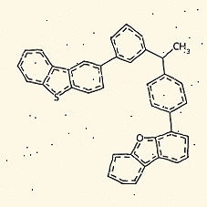 CC(c1ccc(-c2cccc3c2oc2ccccc23)cc1)c1cccc(-c2ccc3sc4ccccc4c3c2)c1